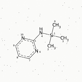 C[Si](C)(C)Nc1ncccn1